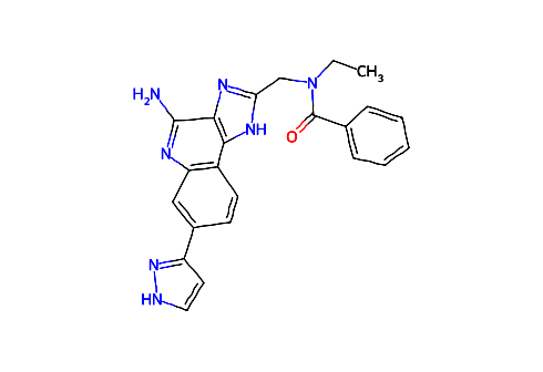 CCN(Cc1nc2c(N)nc3cc(-c4cc[nH]n4)ccc3c2[nH]1)C(=O)c1ccccc1